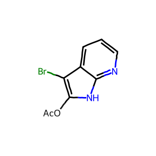 CC(=O)Oc1[nH]c2ncccc2c1Br